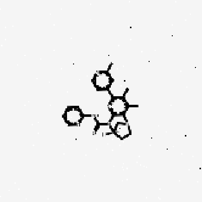 Cc1cc(-c2nc3c(c(C)c2C)N2CC[C@@H](C2)N3C(=O)Nc2ccccn2)ccn1